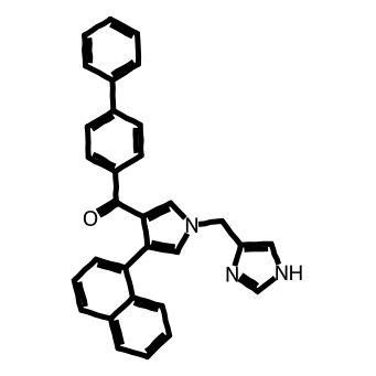 O=C(c1ccc(-c2ccccc2)cc1)c1cn(Cc2c[nH]cn2)cc1-c1cccc2ccccc12